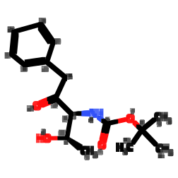 C[C@@H](O)[C@H](NC(=O)OC(C)(C)C)C(=O)[CH]c1ccccc1